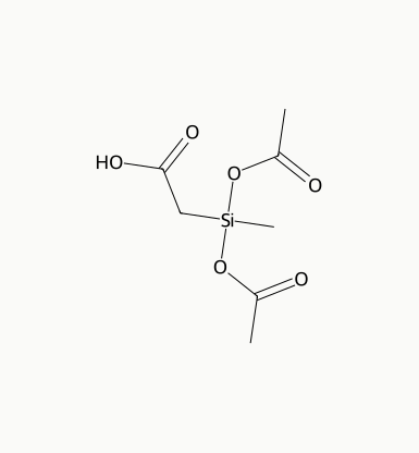 CC(=O)O[Si](C)(CC(=O)O)OC(C)=O